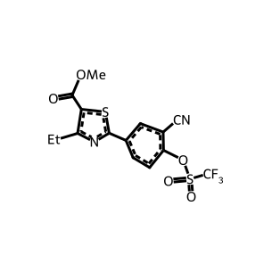 CCc1nc(-c2ccc(OS(=O)(=O)C(F)(F)F)c(C#N)c2)sc1C(=O)OC